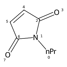 [CH2]CCN1C(=O)C=CC1=O